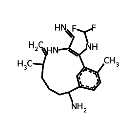 C=C1N/C(C=N)=C(/NC(F)F)c2cc(ccc2C)C(N)CCCC1C